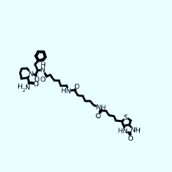 NC(=O)C1CCCCN1C(=O)C(Cc1ccccc1)NC(=O)CCCCCNC(=O)CCCCCNC(=O)CCCCC1SCC2NC(=O)NC21